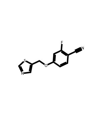 N#Cc1ccc(OCc2cncs2)cc1F